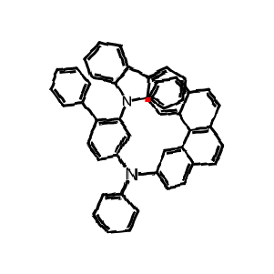 c1ccc(-c2ccc(N(c3ccccc3)c3ccc4ccc5ccc6ccccc6c5c4c3)cc2-n2c3ccccc3c3ccccc32)cc1